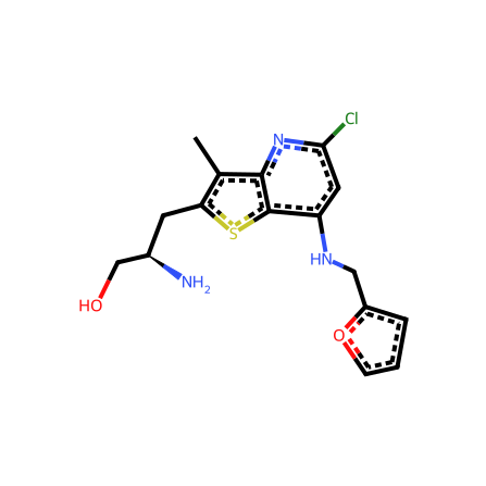 Cc1c(C[C@@H](N)CO)sc2c(NCc3ccco3)cc(Cl)nc12